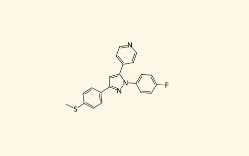 CSc1ccc(-c2cc(-c3ccncc3)n(-c3ccc(F)cc3)n2)cc1